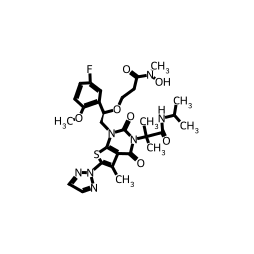 COc1ccc(F)cc1[C@H](Cn1c(=O)n(C(C)(C)C(=O)NC(C)C)c(=O)c2c(C)c(-n3nccn3)sc21)OCCC(=O)N(C)O